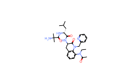 CCN(C(C)=O)c1cccc2c1N(Cc1ccccn1)C(=O)C(NC(=O)[C@@H](CC(C)C)NC(=O)C(C)(C)N)C2